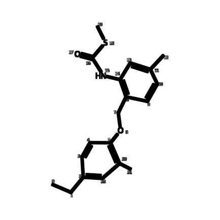 CCc1ccc(OCc2ccc(C)cc2NC(=O)SC)c(C)c1